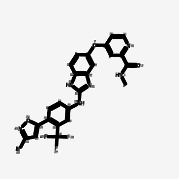 CNC(=O)c1cc(Oc2ccc3[nH]c(Nc4ccc(-c5cc(Br)no5)c(C(F)(F)F)c4)nc3c2)ccn1